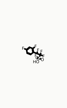 O=S(=O)(O)C(F)(F)C(F)(F)c1ccc(F)cc1F